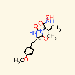 COc1ccc(CC[C@@H]2NC(=O)N([C@@H](C(=O)NO)C(C)C)C2=O)cc1